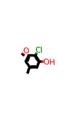 C=O.Cc1ccc(Cl)c(O)c1